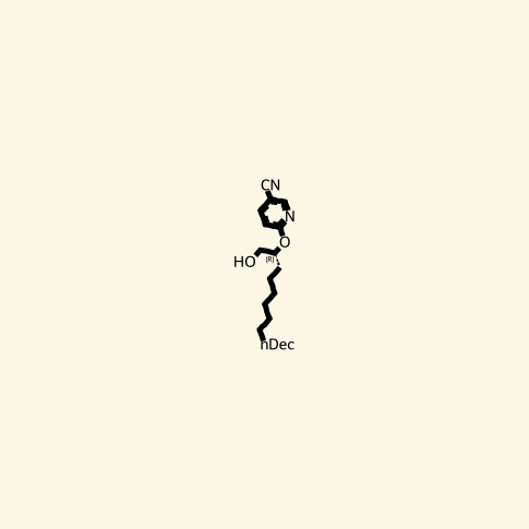 CCCCCCCCCCCCCCCC[C@H](CO)Oc1ccc(C#N)cn1